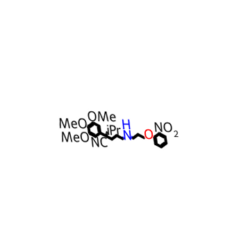 COc1cc(C(C#N)(CCCNCCCOc2ccccc2[N+](=O)[O-])C(C)C)cc(OC)c1OC